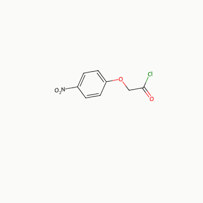 O=C(Cl)COc1ccc([N+](=O)[O-])cc1